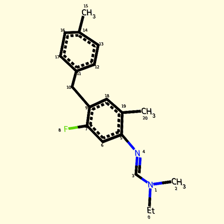 CCN(C)C=Nc1cc(F)c(Cc2ccc(C)cc2)cc1C